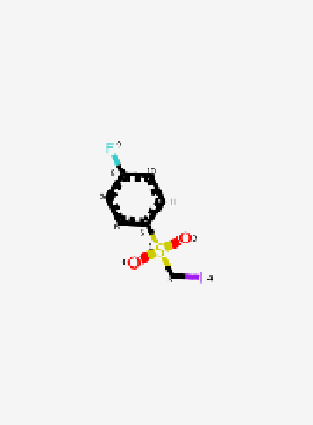 O=S(=O)(CI)c1ccc(F)cc1